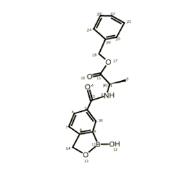 C[C@@H](NC(=O)c1ccc2c(c1)B(O)OC2)C(=O)OCc1ccccc1